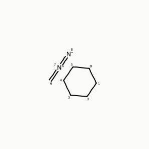 C1CCCCC1.C=[N+]=[N-]